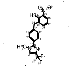 Cn1cc(C(F)(F)F)nc1-c1ccc(Cc2cccc([N+](=O)[O-])c2S)cc1